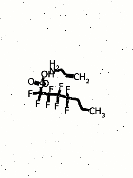 C=CCN.CCCC(F)(F)C(F)(F)C(F)(F)C(F)(F)S(=O)(=O)O